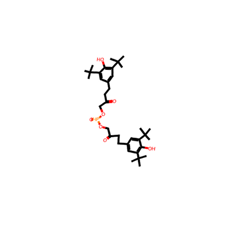 CC(C)(C)c1cc(CCC(=O)CO[PH](=O)OCC(=O)CCc2cc(C(C)(C)C)c(O)c(C(C)(C)C)c2)cc(C(C)(C)C)c1O